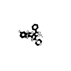 CCC(C1CCCCC1)C(OC(N)=O)(C(=O)c1nc2ccc(F)cc2o1)C(C)C(=O)N1CCOCC1